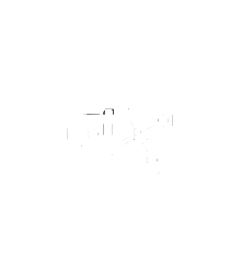 O.O=P(O)(O)O.OO